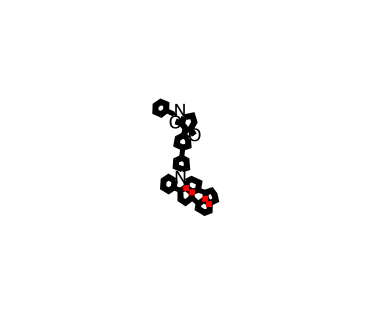 c1ccc(-c2ccc(-c3ccccc3N(c3ccc(-c4ccccc4)cc3)c3ccc(-c4ccc5c(c4)oc4ccc6nc(-c7ccccc7)oc6c45)cc3)cc2)cc1